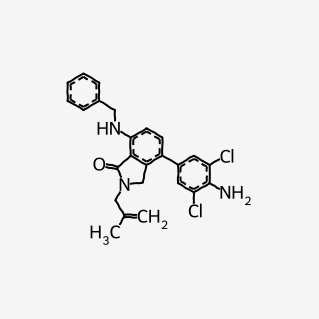 C=C(C)CN1Cc2c(-c3cc(Cl)c(N)c(Cl)c3)ccc(NCc3ccccc3)c2C1=O